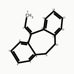 CC=C1c2ccccc2CCc2ccccc21